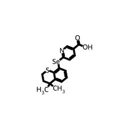 CC1(C)CCSc2c([Se]c3ccc(C(=O)O)cn3)cccc21